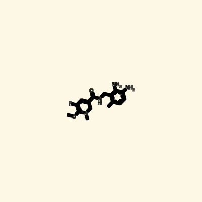 COC1=C(F)C=C(C(=O)NCc2c(C)ccc(N)c2N)CN1C